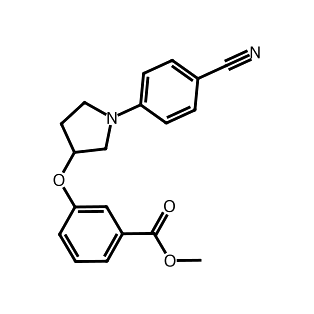 COC(=O)c1cccc(OC2CCN(c3ccc(C#N)cc3)C2)c1